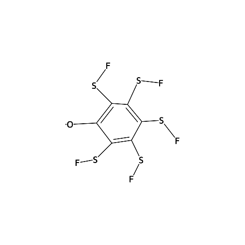 [O]c1c(SF)c(SF)c(SF)c(SF)c1SF